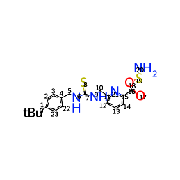 CC(C)(C)c1ccc(CNC(=S)NCc2cccc(C(=O)OSN)n2)cc1